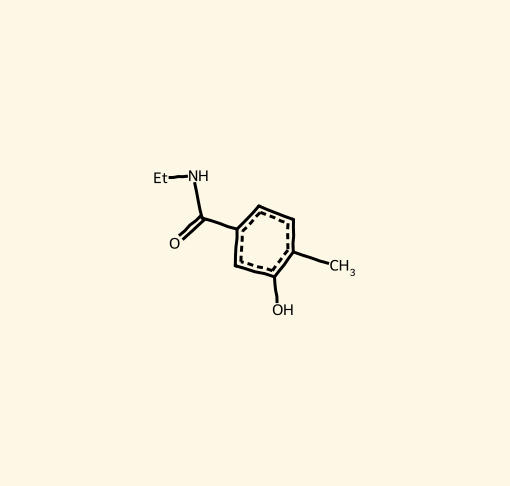 CCNC(=O)c1ccc(C)c(O)c1